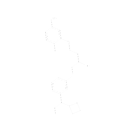 CCCC(CCNc1cc(OC)ccc1C)COc1cccc(C(CC(=O)O)C2CCC2)c1